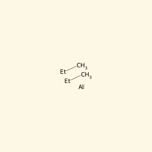 CCC.CCC.[Al]